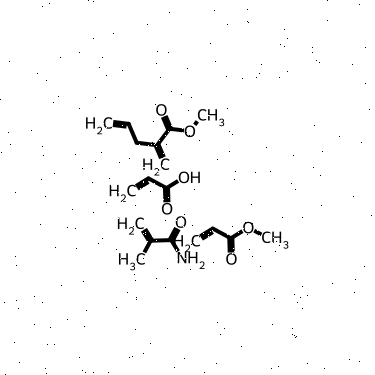 C=C(C)C(N)=O.C=CC(=O)O.C=CC(=O)OC.C=CCC(=C)C(=O)OC